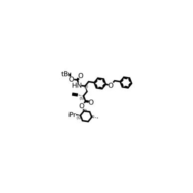 C#C[C@H](C[C@H](Cc1ccc(OCc2ccccc2)cc1)NC(=O)OC(C)(C)C)C(=O)O[C@@H]1C[C@H](C)CC[C@H]1C(C)C